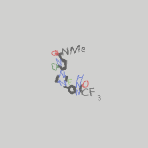 CNC(=O)c1ccc(N2CCN(Cc3ccc4nc(C(F)(F)F)c(=O)[nH]c4c3F)CC2)c(Cl)n1